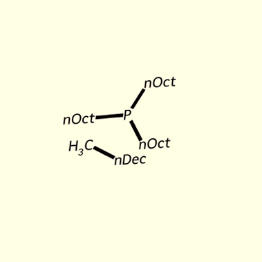 CCCCCCCCCCC.CCCCCCCCP(CCCCCCCC)CCCCCCCC